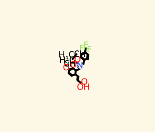 COC1=CC(CN(Cc2ccc(C(F)(F)F)cc2)C(=O)OC(C)(C)C)C(C=CC(=O)O)C=C1